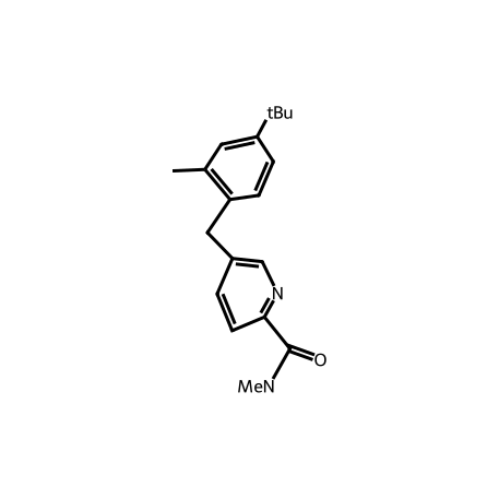 CNC(=O)c1ccc(Cc2ccc(C(C)(C)C)cc2C)cn1